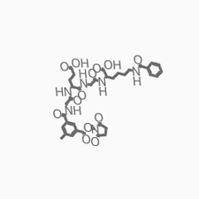 Cc1cc(C(=O)NCC(=O)NC(CCC(=O)O)C(=O)NCC(=O)NC(CCCCNC(=O)c2ccccc2)C(=O)O)cc(C(=O)ON2C(=O)CCC2=O)c1